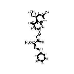 CCc1cc(=O)oc2nc(OCC(=N)/C(C)=N\Nc3ccccc3)[nH]c(=O)c12